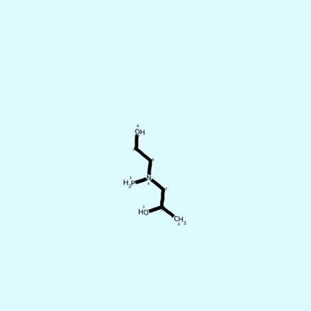 CC(O)CN(P)CCO